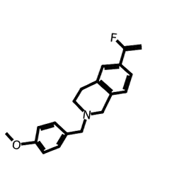 C=C(F)c1ccc2c(c1)CCN(Cc1ccc(OC)cc1)C2